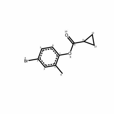 Cc1cc(Br)ccc1OC(=O)C1CC1